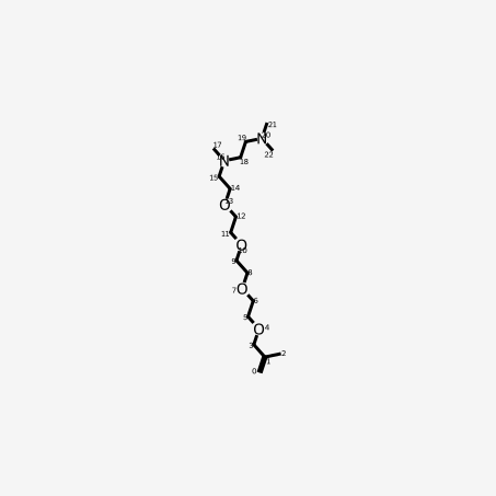 C=C(C)COCCOCCOCCOCCN(C)CCN(C)C